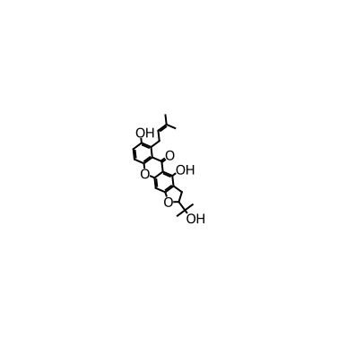 CC(C)=CCc1c(O)ccc2oc3cc4c(c(O)c3c(=O)c12)CC(C(C)(C)O)O4